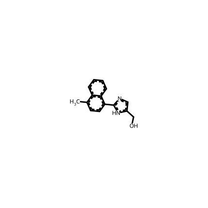 Cc1ccc(-c2ncc(CO)[nH]2)c2ccccc12